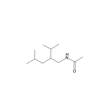 CC(=O)NCC(CC(C)C)C(C)C